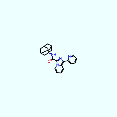 O=C(NC12CC3CC(CC(C3)C1)C2)c1nc(-c2ccccn2)c2ccccn12